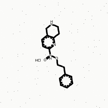 Cl.O=[PH](OCCc1ccccc1)c1ccc2c(n1)CCNC2